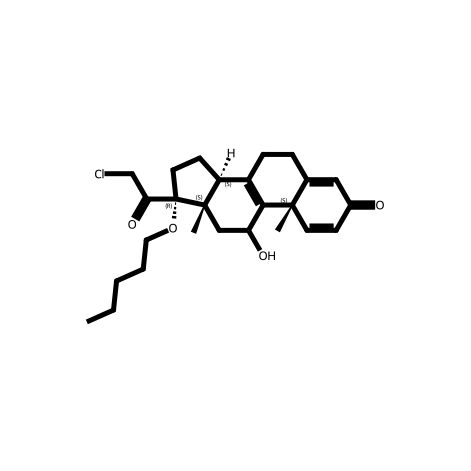 CCCCCO[C@]1(C(=O)CCl)CC[C@H]2C3=C(C(O)C[C@@]21C)[C@@]1(C)C=CC(=O)C=C1CC3